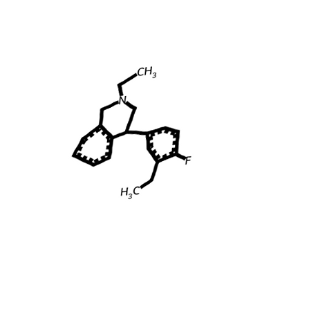 CCc1cc(C2CN(CC)Cc3ccccc32)ccc1F